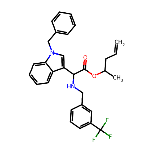 C=CCC(C)OC(=O)C(NCc1cccc(C(F)(F)F)c1)c1cn(Cc2ccccc2)c2ccccc12